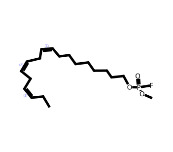 CC/C=C\C/C=C\C/C=C\CCCCCCCCOP(=O)(F)OC